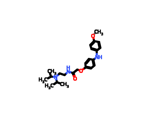 COc1ccc(Nc2ccc(OCC(=O)NCCN(C(C)C)C(C)C)cc2)cc1